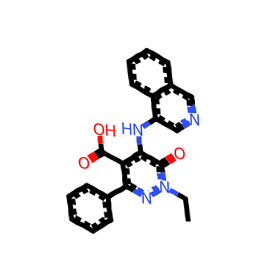 CCn1nc(-c2ccccc2)c(C(=O)O)c(Nc2cncc3ccccc23)c1=O